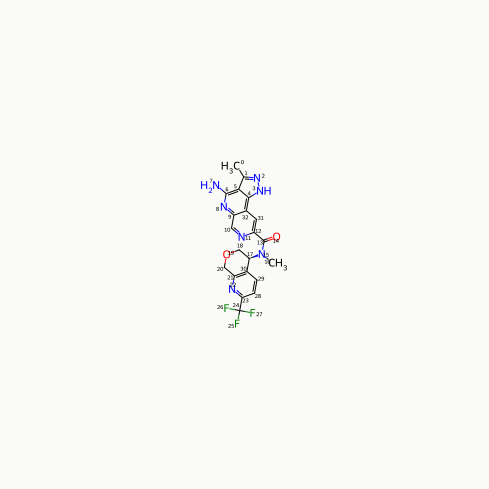 Cc1n[nH]c2c1c(N)nc1cnc(C(=O)N(C)[C@@H]3COCc4nc(C(F)(F)F)ccc43)cc12